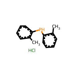 Cc1ccccc1Pc1ccccc1C.Cl